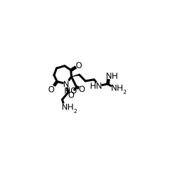 N=C(N)NCCC[C@]1(C(=O)O)C(=O)CCCC(=O)N1C(=O)CN